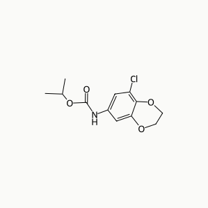 CC(C)OC(=O)Nc1cc(Cl)c2c(c1)OCCO2